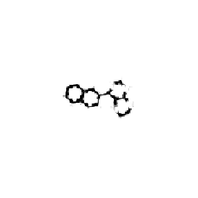 c1ccc2cc(-c3ncnc4nccnc34)ccc2c1